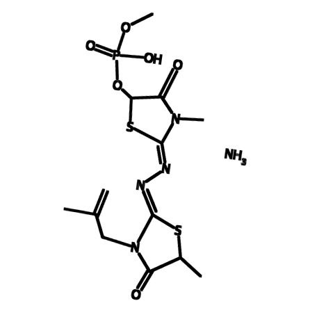 C=C(C)CN1C(=O)C(C)SC1=NN=C1SC(OP(=O)(O)OC)C(=O)N1C.N